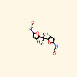 CC(C)(c1ccc(N=C=O)o1)c1ccc(N=C=O)o1